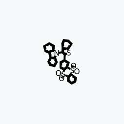 O=S1(=O)c2ccccc2S(=O)(=O)c2cc(-c3sc4ccccc4c3-n3c4ccccc4c4ccccc43)ccc21